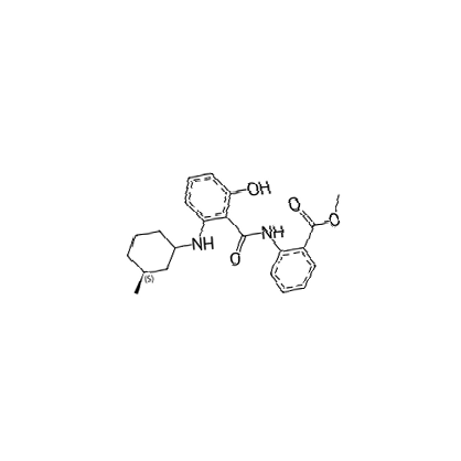 COC(=O)c1ccccc1NC(=O)c1c(O)cccc1NC1CCC[C@H](C)C1